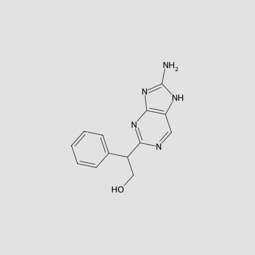 Nc1nc2nc(C(CO)c3ccccc3)ncc2[nH]1